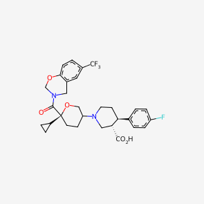 O=C(O)[C@@H]1CN(C2CC[C@@](C(=O)N3COc4ccc(C(F)(F)F)cc4C3)(C3CC3)OC2)CC[C@H]1c1ccc(F)cc1